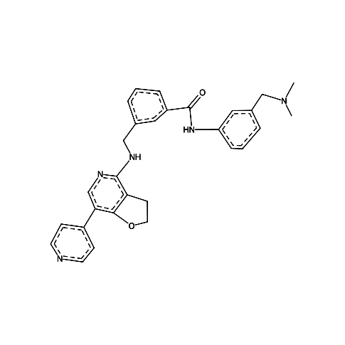 CN(C)Cc1cccc(NC(=O)c2cccc(CNc3ncc(-c4ccncc4)c4c3CCO4)c2)c1